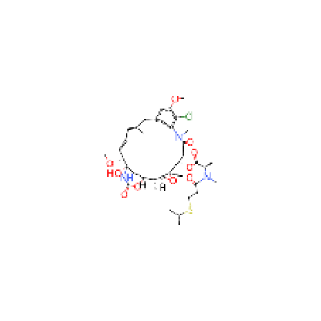 COc1cc2cc(c1Cl)N(C)C(=O)C[C@H](OC(=O)[C@@H](C)N(C)C(=O)CCSC(C)C)[C@]1(C)O[C@H]1[C@H](C)[C@@H]1C[C@@](O)(NC(=O)O1)[C@H](OC)/C=C/C=C(\C)C2